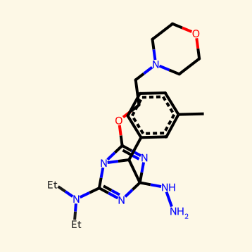 CCN(CC)C1=NC2(NN)N=C(OCCN3CCOCC3)N1C2c1cccc(C)c1